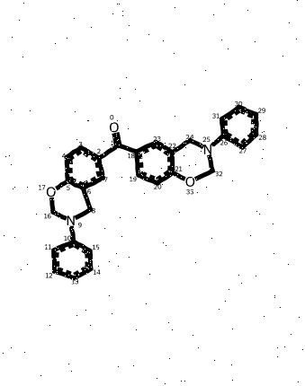 O=C(c1ccc2c(c1)CN(c1ccccc1)CO2)c1ccc2c(c1)CN(c1ccccc1)CO2